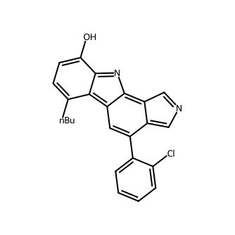 CCCCc1ccc(O)c2c1=c1cc(-c3ccccc3Cl)c3c(c1N=2)C=NC=3